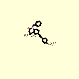 CCOC(=O)c1ccc(C#Cc2ccc3c(c2)C(C)(C)CC(=O)N3Cc2ccccc2)cc1